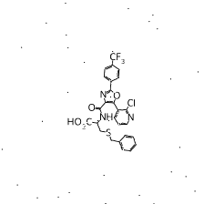 O=C(NC(CSCc1ccccc1)C(=O)O)c1nc(-c2ccc(C(F)(F)F)cc2)oc1-c1cccnc1Cl